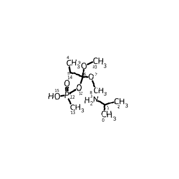 CC(C)N.CCC(OC)(OC)OP(C)(=O)O